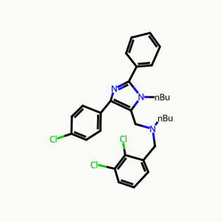 CCCCN(Cc1cccc(Cl)c1Cl)Cc1c(-c2ccc(Cl)cc2)nc(-c2ccccc2)n1CCCC